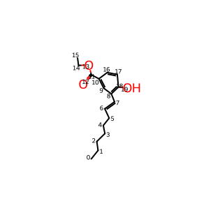 CCCCCCC=Cc1cc(C(=O)OCC)ccc1O